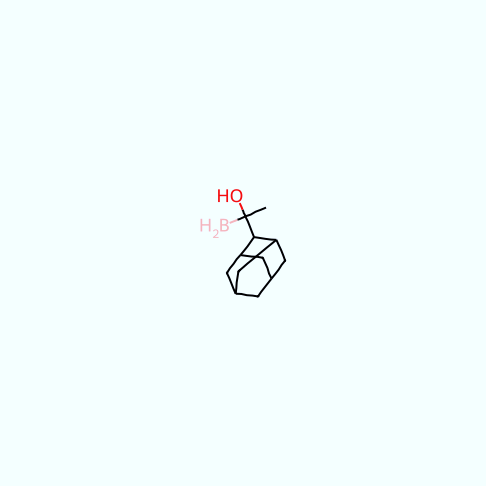 BC(C)(O)C1C2CC3CC(C2)CC1C3